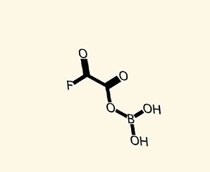 O=C(F)C(=O)OB(O)O